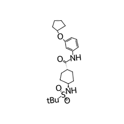 CC(C)(C)S(=O)(=O)N[C@H]1CC[C@H](C(=O)Nc2cccc(OC3CCCC3)c2)CC1